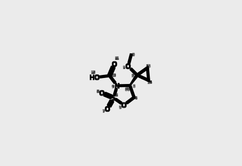 COC1([C@H]2COS(=O)(=O)N2C(=O)O)CC1